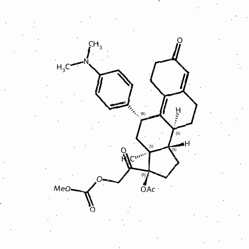 COC(=O)OCC(=O)[C@@]1(OC(C)=O)CC[C@H]2[C@@H]3CCC4=CC(=O)CCC4=C3[C@@H](c3ccc(N(C)C)cc3)C[C@@]21C